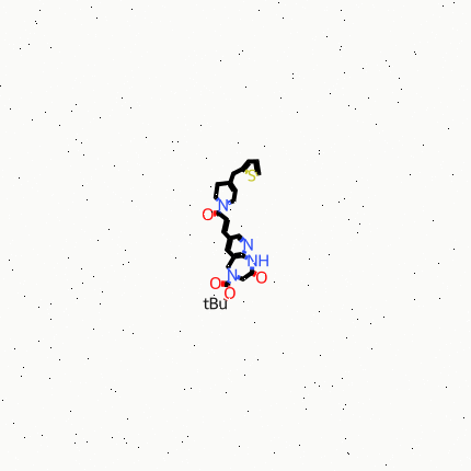 CC(C)(C)OC(=O)N1CC(=O)Nc2ncc(C=CC(=O)N3CC=C(Cc4cccs4)CC3)cc2C1